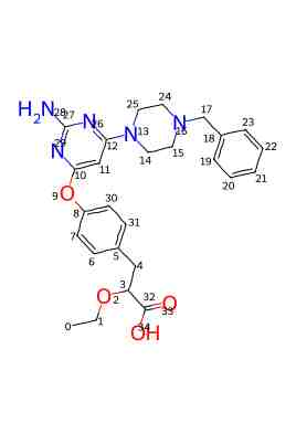 CCOC(Cc1ccc(Oc2cc(N3CCN(Cc4ccccc4)CC3)nc(N)n2)cc1)C(=O)O